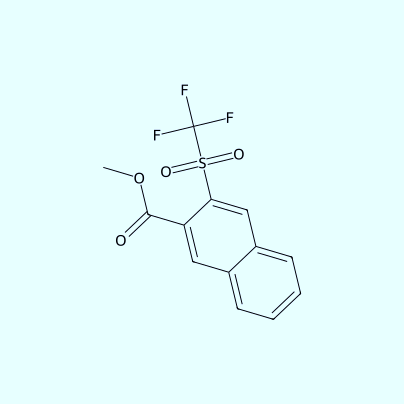 COC(=O)c1cc2ccccc2cc1S(=O)(=O)C(F)(F)F